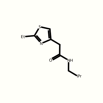 CCc1nc(CC(=O)NCC(C)C)cs1